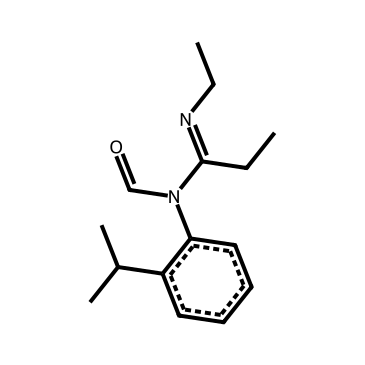 CC/N=C(\CC)N(C=O)c1ccccc1C(C)C